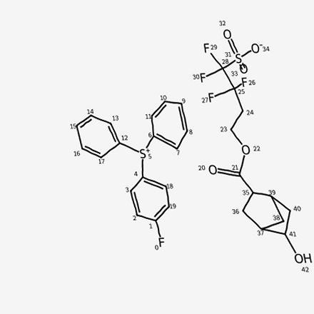 Fc1ccc([S+](c2ccccc2)c2ccccc2)cc1.O=C(OCCC(F)(F)C(F)(F)S(=O)(=O)[O-])C1CC2CC1CC2O